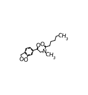 CCCCCC(=O)N(C)CC(=O)c1ccc2c(c1)OOC2